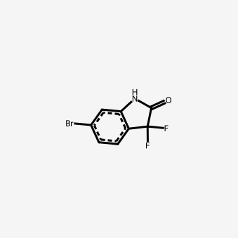 O=C1Nc2cc(Br)ccc2C1(F)F